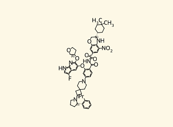 CC(C)c1ccccc1[C@@H]1CCCN1C1CC2(CCN(c3ccc(C(=O)NS(=O)(=O)c4cc5c(c([N+](=O)[O-])c4)N[C@@H](C4CCC(C)(C)CC4)CO5)c(Oc4cc5c(F)c[nH]c5nc4O[C@@H]4CCOC4)c3)CC2)C1